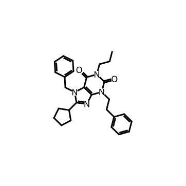 CCCn1c(=O)c2c(nc(C3CCCC3)n2Cc2ccccc2)n(CCc2ccccc2)c1=O